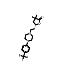 CC1(C)C[C@@H](CCN2CCN(c3ccc(C(F)(F)F)cc3)CC2)OC1=O